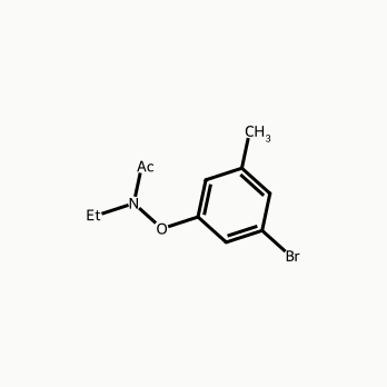 CCN(Oc1cc(C)cc(Br)c1)C(C)=O